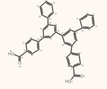 O=C(O)c1ccc(-c2cc(-c3ccccc3)cc(-c3cc(-c4ccccc4)cc(-c4ccc(C(=O)O)cc4)c3)c2)cc1